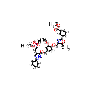 CCOP(=O)(C=Cc1cn(-c2ccccc2)nc1OCc1ccc(OCc2nc(-c3cccc(C(=O)OC)c3)oc2C)c(OC)c1)OCC